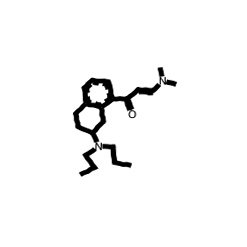 CCCN(CCC)C1CCc2cccc(C(=O)C=CN(C)C)c2C1